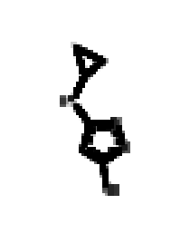 Sc1nnc(NC2CC2)s1